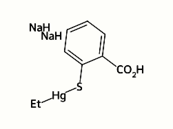 C[CH2][Hg][S]c1ccccc1C(=O)O.[NaH].[NaH]